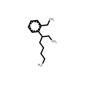 CCCCC[C](CC)c1ccccc1CC